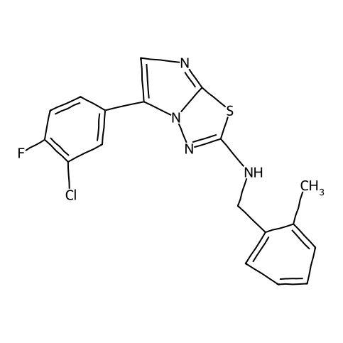 Cc1ccccc1CNc1nn2c(-c3ccc(F)c(Cl)c3)cnc2s1